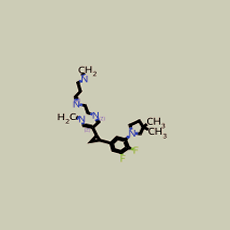 C=N/C=C(\C=N/CC/N=C\CCN=C)C1CC1c1cc(F)c(F)c(N2CCC(C)(C)C2)c1